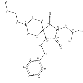 CCCCN1CCC2(CC1)C(=O)N(CC(C)C)C(=O)N2CCc1ccccc1